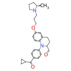 C[C@@H]1CCCN1CCCOc1ccc2c(c1)CCC(C=O)N2c1ccc(C(=O)C2CC2)cc1